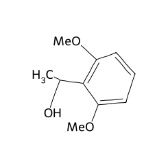 COc1cccc(OC)c1C(C)O